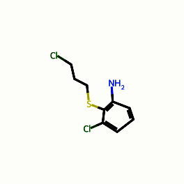 Nc1cccc(Cl)c1SCCCCl